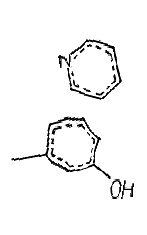 Cc1cccc(O)c1.c1ccncc1